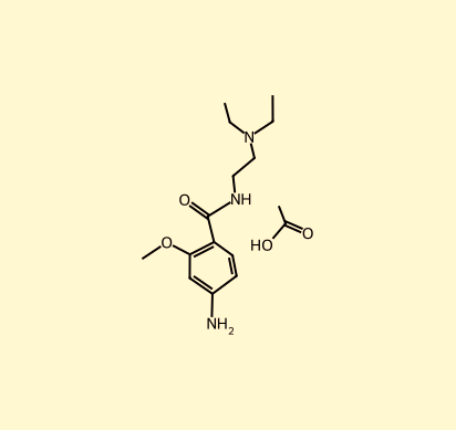 CC(=O)O.CCN(CC)CCNC(=O)c1ccc(N)cc1OC